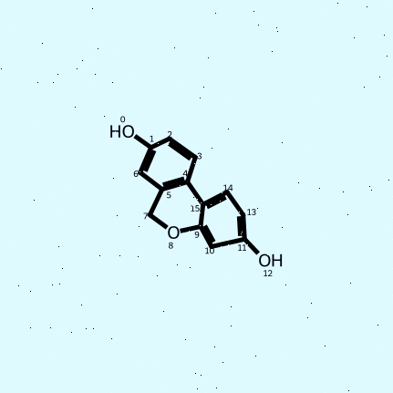 Oc1ccc2c(c1)COc1cc(O)ccc1-2